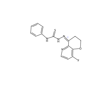 Fc1ccnc2c1OCC/C2=N/NC(=S)Nc1ccccc1